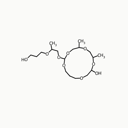 CC(COC1OCCCOCC(O)OC(C)COC(C)CO1)OCCCO